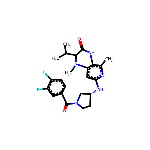 Cc1nc(N[C@@H]2CCN(C(=O)c3ccc(F)c(F)c3)C2)cc2c1NC(=O)C(C(C)C)N2C